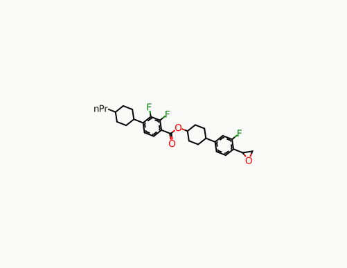 CCCC1CCC(c2ccc(C(=O)OC3CCC(c4ccc(C5CO5)c(F)c4)CC3)c(F)c2F)CC1